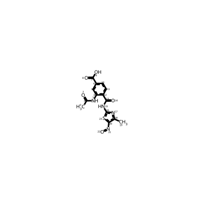 CC(=O)Nc1cc(C(=O)O)ccc1C(=O)Nc1nc(C)c(N=O)s1